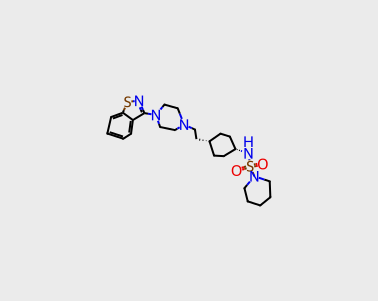 O=S(=O)(N[C@H]1CC[C@@H](CCN2CCN(c3nsc4ccccc34)CC2)CC1)N1CCCCC1